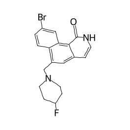 O=c1[nH]ccc2cc(CN3CCC(F)CC3)c3ccc(Br)cc3c12